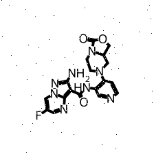 Nc1nn2cc(F)cnc2c1C(=O)Nc1cnccc1N1CCN2C(=O)OCC2C1